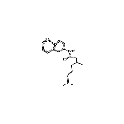 CC(C)=CCCC(C)CC(=O)Nc1ccc2ncccc2c1